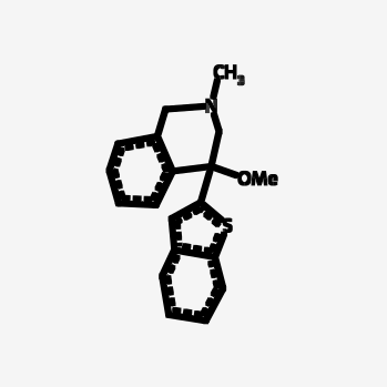 COC1(c2cc3ccccc3s2)CN(C)Cc2ccccc21